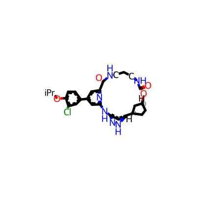 CC(C)Oc1ccc(-c2cc3nc(c2)C(=O)NCCCNC(=O)O[C@@H]2CC[C@@H](C2)c2cc(n[nH]2)N3)cc1Cl